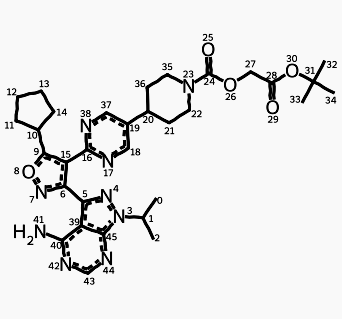 CC(C)n1nc(-c2noc(C3CCCC3)c2-c2ncc(C3CCN(C(=O)OCC(=O)OC(C)(C)C)CC3)cn2)c2c(N)ncnc21